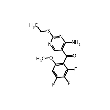 CCSc1ncc(C(=O)c2c(OC)cc(F)c(F)c2F)c(N)n1